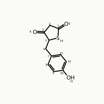 O=C1CC(=O)C(Cc2ccc(O)cc2)S1